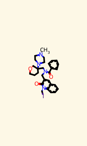 CN1CCN(C2(CN(Cc3cc4ccccc4n(CI)c3=O)C(=O)c3ccccc3)CCCOC2)CC1